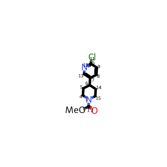 COC(=O)N1CCC(c2ccc(Cl)nc2)CC1